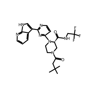 CC(C)(C)CC(=O)N1CCN(c2ccnc(-c3c[nH]c4ncccc34)n2)[C@@H](C(=O)NCC(F)(F)F)C1